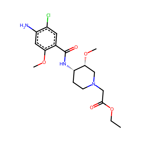 CCOC(=O)CN1CC[C@H](NC(=O)c2cc(Cl)c(N)cc2OC)[C@H](OC)C1